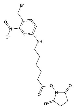 O=C(CCCCCNc1ccc(CBr)c([N+](=O)[O-])c1)ON1C(=O)CCC1=O